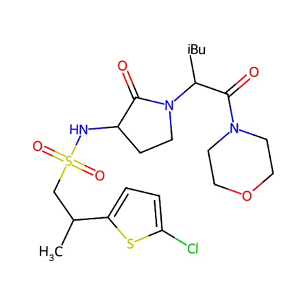 CCC(C)C(C(=O)N1CCOCC1)N1CCC(NS(=O)(=O)CC(C)c2ccc(Cl)s2)C1=O